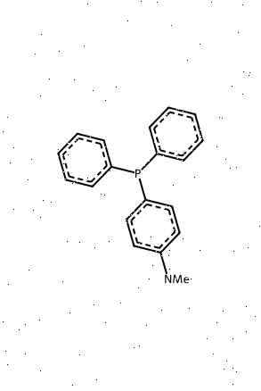 CNc1ccc(P(c2ccccc2)c2ccccc2)cc1